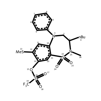 CCCCC1CN(c2ccccc2)c2cc(SC)c(OS(=O)(=O)C(F)(F)F)cc2S(=O)(=O)N1C